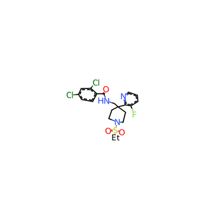 CCS(=O)(=O)N1CCC(CNC(=O)c2ccc(Cl)cc2Cl)(c2ncccc2F)CC1